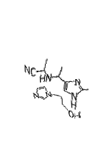 Cc1nc(C(C)NC(C)C#N)c[nH]1.OCCn1ccnc1